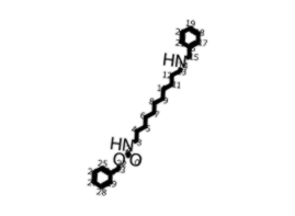 O=C(NCCCCCCCCCCCNCc1ccccc1)OCc1ccccc1